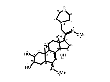 CO/N=C1\C=C2C(CCC3(C)C(/C(CN4CCOCC4)=N\OC)CC[C@@]23O)C2(C)CC(O)C(O)CC12